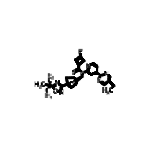 CCc1cnc(-c2ccnc(N(CC34CCC(c5noc(C(C)(C)C)n5)(CC3)CC4)C(=O)C34CC(F)(C3)C4)c2)nc1